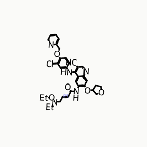 CCON(CC)C/C=C/C(=O)Nc1cc2c(Nc3ccc(OCc4ccccn4)c(Cl)c3)c(C#N)cnc2cc1OC1CCOC1